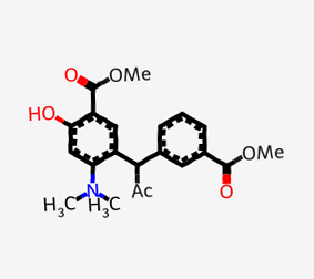 COC(=O)c1cccc(C(C(C)=O)c2cc(C(=O)OC)c(O)cc2N(C)C)c1